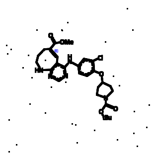 COC(=O)/C1=C/c2c(ncnc2Nc2ccc(OC3CCN(C(=O)OC(C)(C)C)CC3)c(Cl)c2)NCCC1